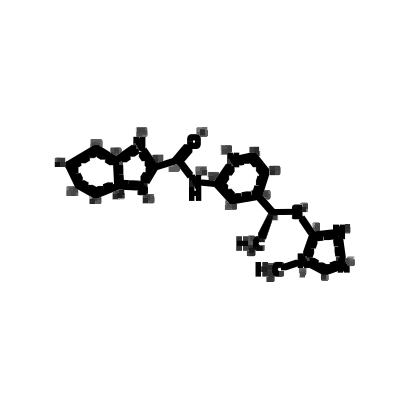 C[C@H](Sc1nncn1C)c1ccnc(NC(=O)c2nc3ccccc3s2)c1